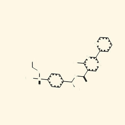 CCOP(C)(=O)c1ccc([C@H](C)NC(=O)c2cnc(-c3ccccn3)nc2O)cc1